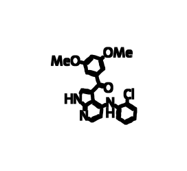 COc1cc(OC)cc(C(=O)c2c[nH]c3nccc(Nc4ccccc4Cl)c23)c1